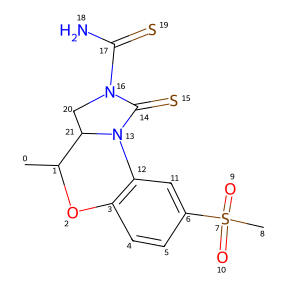 CC1Oc2ccc(S(C)(=O)=O)cc2N2C(=S)N(C(N)=S)CC12